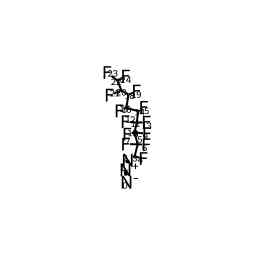 [N-]=[N+]=NC(F)C(F)(F)C(F)(F)C(F)(F)C(F)C(F)C(F)C(F)C(F)F